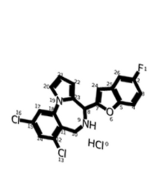 Cl.Fc1ccc2oc(C3NCc4c(Cl)cc(Cl)cc4-n4cccc43)cc2c1